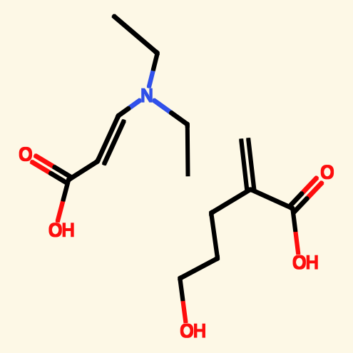 C=C(CCCO)C(=O)O.CCN(C=CC(=O)O)CC